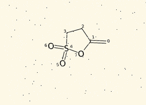 C=C1CCS(=O)(=O)O1